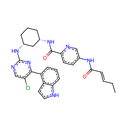 CC/C=C/C(=O)Nc1ccc(C(=O)N[C@H]2CCC[C@@H](Nc3ncc(Cl)c(-c4cccc5[nH]ccc45)n3)C2)nc1